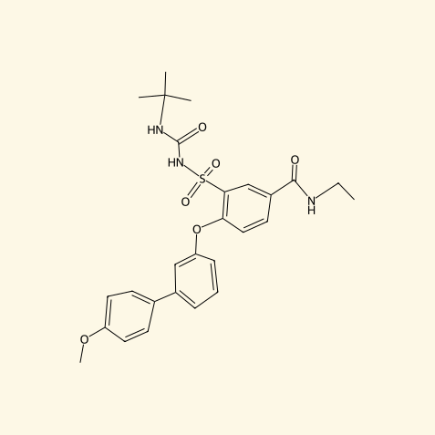 CCNC(=O)c1ccc(Oc2cccc(-c3ccc(OC)cc3)c2)c(S(=O)(=O)NC(=O)NC(C)(C)C)c1